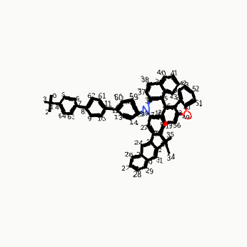 CC(C)(C)c1ccc(-c2ccc(-c3c#cc(N(c4ccc5c(c4)-c4cc6ccccc6cc4C5(C)C)c4ccc5ccccc5c4C4=c5c(oc6ccccc56)=CCC4)cc3)cc2)cc1